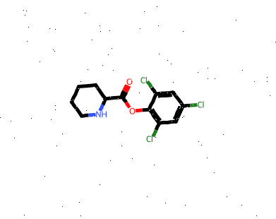 O=C(Oc1c(Cl)cc(Cl)cc1Cl)C1CCCCN1